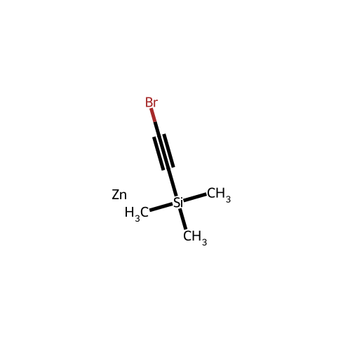 C[Si](C)(C)C#CBr.[Zn]